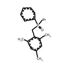 Cc1cc(C)c(CP(=O)(c2ccccc2)C(C)C)c(C)c1